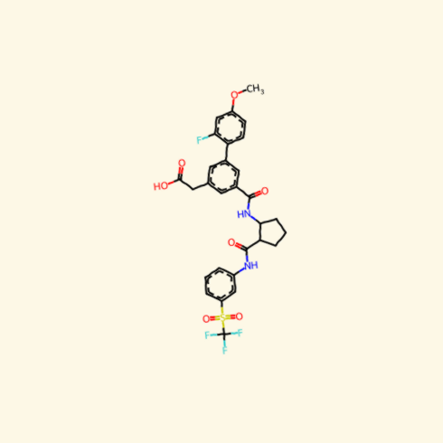 COc1ccc(-c2cc(CC(=O)O)cc(C(=O)NC3CCCC3C(=O)Nc3cccc(S(=O)(=O)C(F)(F)F)c3)c2)c(F)c1